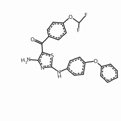 Nc1nc(Nc2ccc(Oc3ccccc3)cc2)sc1C(=O)c1ccc(OC(F)F)cc1